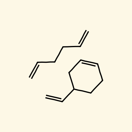 C=CC1CC=CCC1.C=CCCC=C